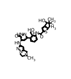 CN1CCn2nc(Nc3cc(-c4cccc(NC(=O)c5cc6c(s5)CC(C)(C)C6O)c4CO)n[nH]c3=O)cc2C1